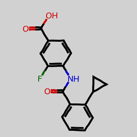 O=C(O)c1ccc(NC(=O)c2ccccc2C2CC2)c(F)c1